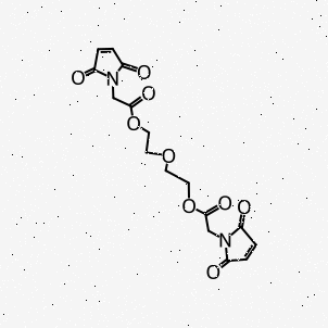 O=C(CN1C(=O)C=CC1=O)OCCOCCOC(=O)CN1C(=O)C=CC1=O